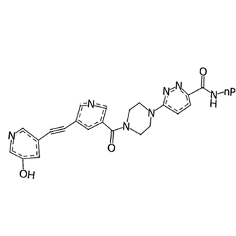 CCCNC(=O)c1ccc(N2CCN(C(=O)c3cncc(C#Cc4cncc(O)c4)c3)CC2)nn1